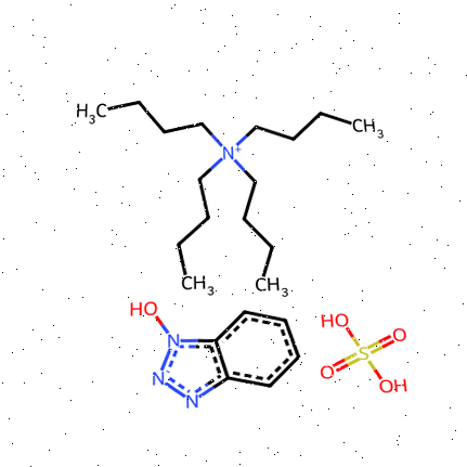 CCCC[N+](CCCC)(CCCC)CCCC.O=S(=O)(O)O.On1nnc2ccccc21